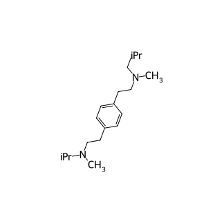 CC(C)CN(C)CCc1ccc(CCN(C)C(C)C)cc1